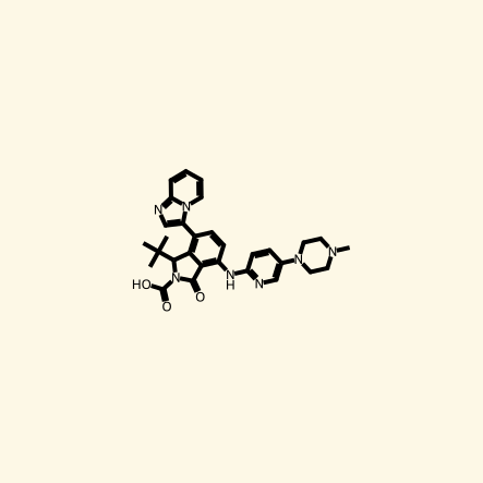 CN1CCN(c2ccc(Nc3ccc(-c4cnc5ccccn45)c4c3C(=O)N(C(=O)O)C4C(C)(C)C)nc2)CC1